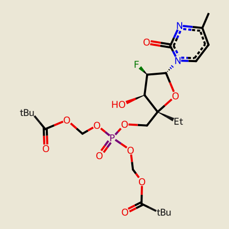 CC[C@]1(COP(=O)(OCOC(=O)C(C)(C)C)OCOC(=O)C(C)(C)C)O[C@@H](n2ccc(C)nc2=O)[C@H](F)[C@@H]1O